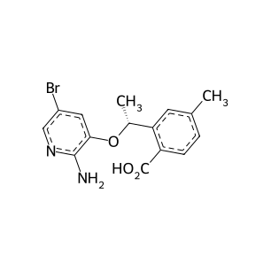 Cc1ccc(C(=O)O)c([C@@H](C)Oc2cc(Br)cnc2N)c1